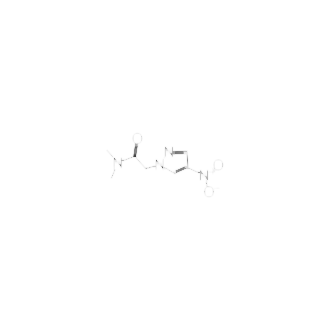 CN(C)C(=O)Cn1cc([N+](=O)[O-])cn1